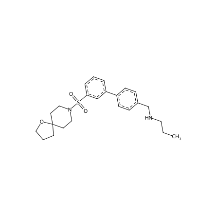 CCCNCc1ccc(-c2cccc(S(=O)(=O)N3CCC4(CCCO4)CC3)c2)cc1